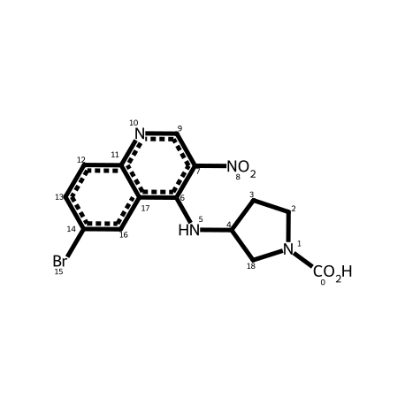 O=C(O)N1CCC(Nc2c([N+](=O)[O-])cnc3ccc(Br)cc23)C1